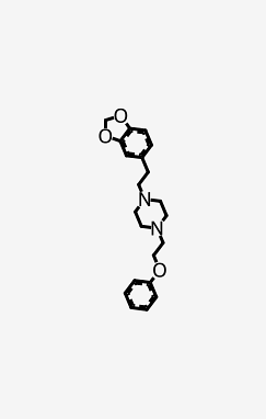 c1ccc(OCCN2CCN(CCc3ccc4c(c3)OCO4)CC2)cc1